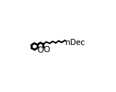 CCCCCCCCCCCCCCCCCc1cc2ccccc2oc1=O